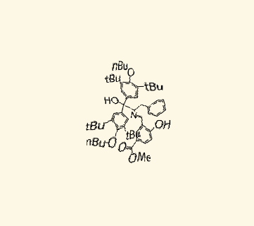 CCCCOc1c(C(C)(C)C)cc(C(O)(c2cc(C(C)(C)C)c(OCCCC)c(C(C)(C)C)c2)C(Cc2ccccc2)N=Cc2cc(C(=O)OC)ccc2O)cc1C(C)(C)C